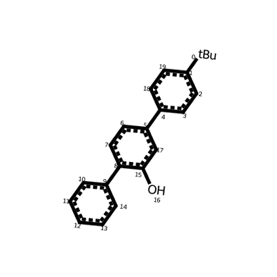 CC(C)(C)c1ccc(-c2ccc(-c3ccccc3)c(O)c2)cc1